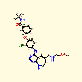 COCCNCC1=Cc2c(ncnc2Nc2ccc(Oc3cccc(C(=O)NC(C)(C)C)c3)c(Cl)c2)NCC1